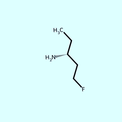 CC[C@@H](N)CCF